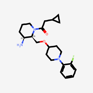 N[C@H]1CCCN(C(=O)CC2CC2)[C@H]1COC1CCN(c2ccccc2F)CC1